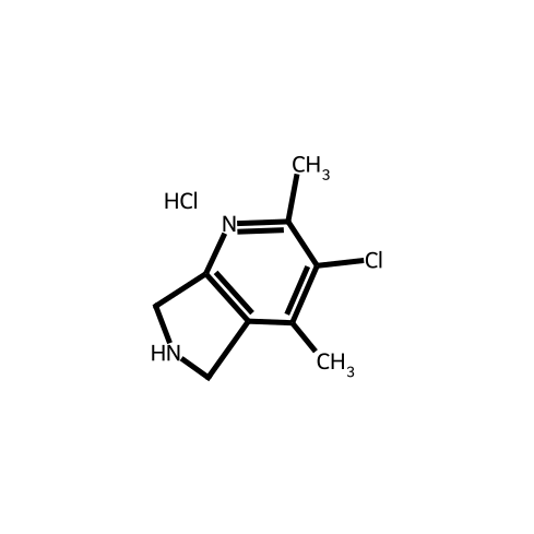 Cc1nc2c(c(C)c1Cl)CNC2.Cl